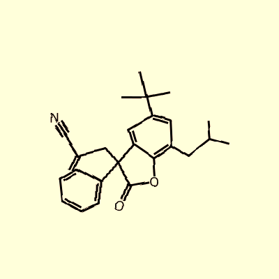 C=C(C#N)CC1(c2ccccc2)C(=O)Oc2c(CC(C)C)cc(C(C)(C)C)cc21